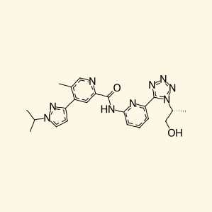 Cc1cnc(C(=O)Nc2cccc(-c3nnnn3[C@H](C)CO)n2)cc1-c1ccn(C(C)C)n1